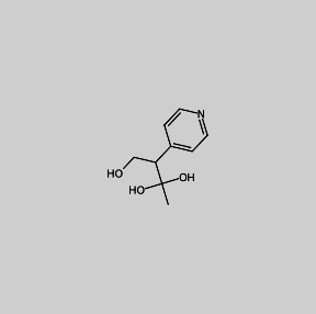 CC(O)(O)C(CO)c1ccncc1